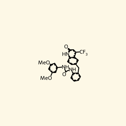 COc1cc(NC(=O)Nc2ccccc2Cc2ccc3[nH]c(=O)cc(C(F)(F)F)c3c2)cc(OC)c1